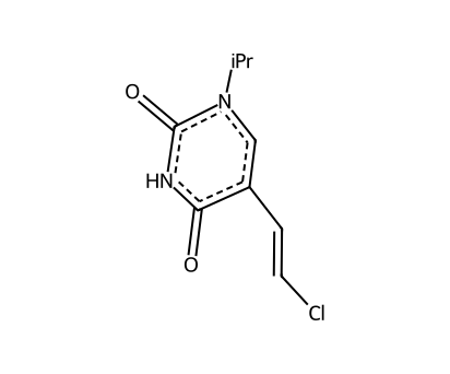 CC(C)n1cc(/C=C/Cl)c(=O)[nH]c1=O